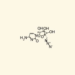 [N-]=[N+]=NC[C@]12O[C@@H](n3ccc(N)nc3=O)[C@H](O)[C@@]1(O)C2O